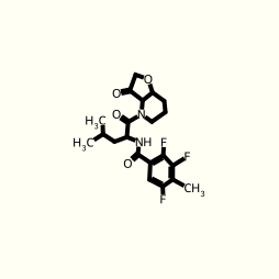 Cc1c(F)cc(C(=O)NC(CC(C)C)C(=O)N2CCCC3OCC(=O)C32)c(F)c1F